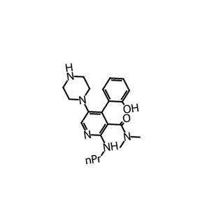 CCCNc1ncc(N2CCNCC2)c(-c2ccccc2O)c1C(=O)N(C)C